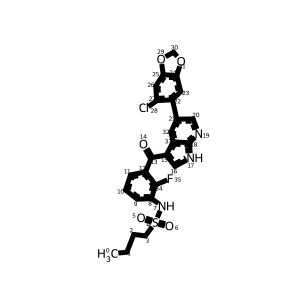 CCCCS(=O)(=O)Nc1cccc(C(=O)c2c[nH]c3ncc(-c4cc5c(cc4Cl)OCO5)cc23)c1F